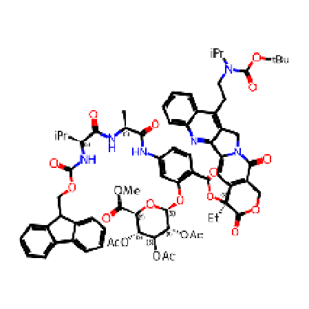 CC[C@@]1(OC(=O)c2ccc(NC(=O)[C@H](C)NC(=O)[C@@H](NC(=O)OCC3c4ccccc4-c4ccccc43)C(C)C)cc2O[C@@H]2O[C@H](C(=O)OC)[C@@H](OC(C)=O)[C@H](OC(C)=O)[C@H]2OC(C)=O)C(=O)OCc2c1cc1n(c2=O)Cc2c-1nc1ccccc1c2CCN(C(=O)OC(C)(C)C)C(C)C